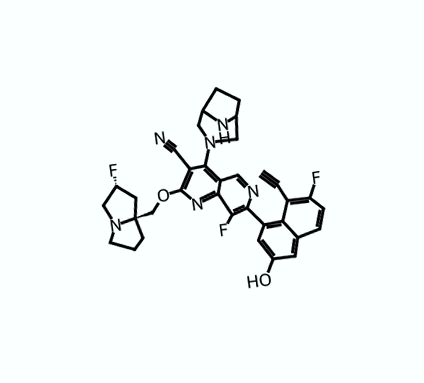 C#Cc1c(F)ccc2cc(O)cc(-c3ncc4c(N5CC6CCC(C5)N6)c(C#N)c(OC[C@@]56CCCN5C[C@H](F)C6)nc4c3F)c12